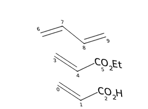 C=CC(=O)O.C=CC(=O)OCC.C=CC=C